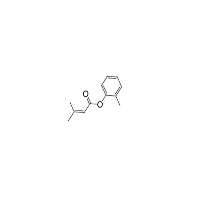 CC(C)=CC(=O)Oc1ccccc1C